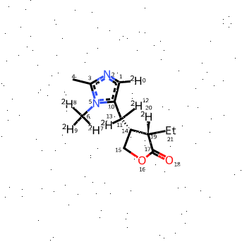 [2H]c1nc(C)n(C([2H])([2H])[2H])c1C([2H])([2H])[C@H]1COC(=O)[C@@]1([2H])CC